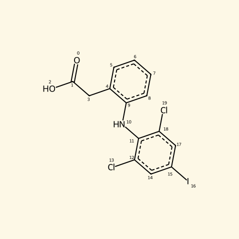 O=C(O)Cc1ccccc1Nc1c(Cl)cc(I)cc1Cl